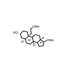 COCC[C@]12CC[C@@H](O)C[C@@H]1CC[C@H]1[C@@H]3CC[C@H](OC)[C@@]3(C)CC[C@@H]12